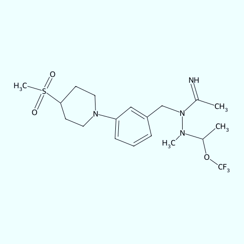 CC(=N)N(Cc1cccc(N2CCC(S(C)(=O)=O)CC2)c1)N(C)C(C)OC(F)(F)F